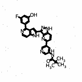 CC(C)(C)C(=O)Nc1cncc(-c2ccc3[nH]nc(-c4cc5c(-c6cc(O)cc(F)c6)nccc5[nH]4)c3n2)c1